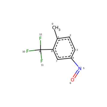 Cc1ccc(N=O)cc1C(F)(F)F